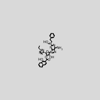 CCn1nnc([C@H]2O[C@@H](n3cnc4c(N)nc(N(CO)CCc5ccccc5)nc43)[C@H](O)[C@@H]2OC(=O)c2ccc3ccccc3c2O)n1